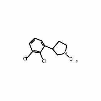 CN1CCC(c2cccc(Cl)c2Cl)C1